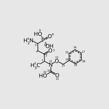 CC(C(=O)CC(N)P(=O)(O)O)N(OCc1ccccc1)C(=O)O